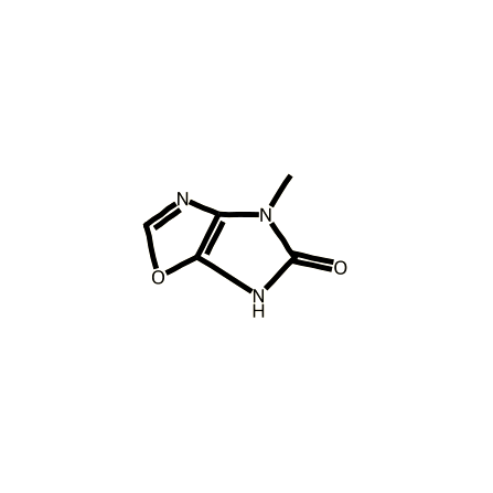 Cn1c(=O)[nH]c2ocnc21